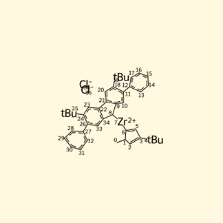 CC1C=C(C(C)(C)C)C=[C]1[Zr+2][CH]1c2cc(-c3ccccc3)c(C(C)(C)C)cc2-c2cc(C(C)(C)C)c(-c3ccccc3)cc21.[Cl-].[Cl-]